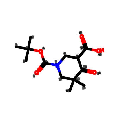 CC(C)(C)OC(=O)N1CC(C(=O)O)C(=O)C(C)(C)C1